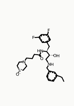 CCc1cccc(CNC[C@@H](O)[C@H](Cc2cc(F)cc(F)c2)NC(=O)CCCN2CC[S+]([O-])CC2)c1